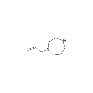 O=[C]CN1CCCNCC1